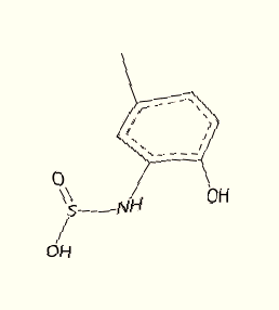 Cc1ccc(O)c(NS(=O)O)c1